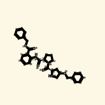 O=C(OCc1ccccc1)c1ccccc1NC(=O)[C@@H]1CCCN1C(=O)[C@@H]1CC(OCc2ccccc2)CN1